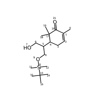 CC1=CCC(C(CO)CO[Si](C)(C)C(C)(C)C)C(C)(C)C1=O